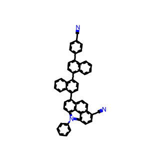 N#Cc1ccc(-c2ccc(-c3ccc(-c4ccc5c6c4ccc4c(C#N)ccc(c46)n5-c4ccccc4)c4ccccc34)c3ccccc23)cc1